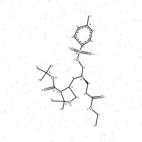 CCOC(=O)CC[C@H](COS(=O)(=O)c1ccc(C)cc1)CC1COC(C)(C)N1C(=O)OC(C)(C)C